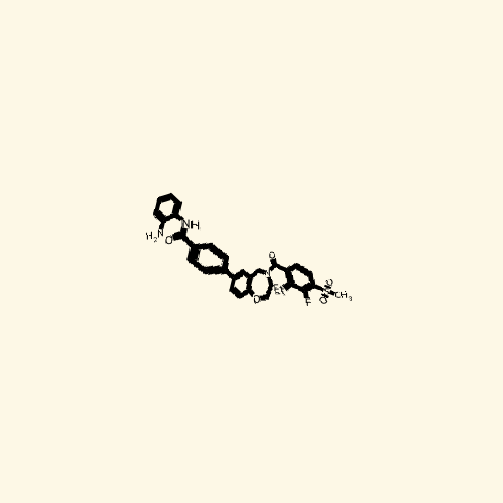 CCc1c(C(=O)N2CCOc3ccc(-c4ccc(C(=O)Nc5ccccc5N)cc4)cc3C2)ccc(S(C)(=O)=O)c1F